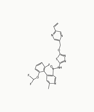 C=Cc1cnc(COc2nnc(NC(=O)c3cnc(C)cc3-c3c(F)cccc3OC(F)F)s2)cn1